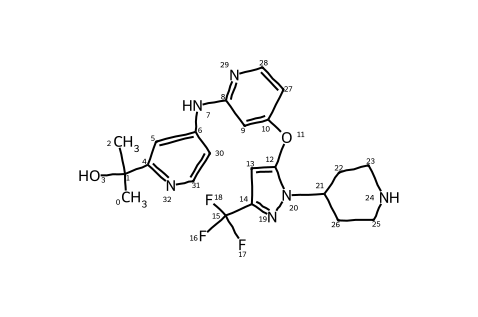 CC(C)(O)c1cc(Nc2cc(Oc3cc(C(F)(F)F)nn3C3CCNCC3)ccn2)ccn1